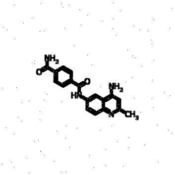 Cc1cc(N)c2cc(NC(=O)c3ccc(C(N)=O)cc3)ccc2n1